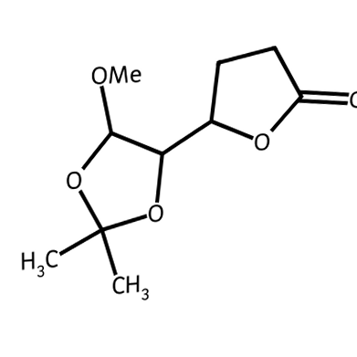 COC1OC(C)(C)OC1C1CCC(=O)O1